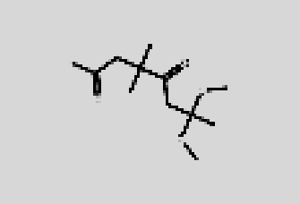 COC(C)(CC(=O)C(C)(C)CC(C)=O)OC